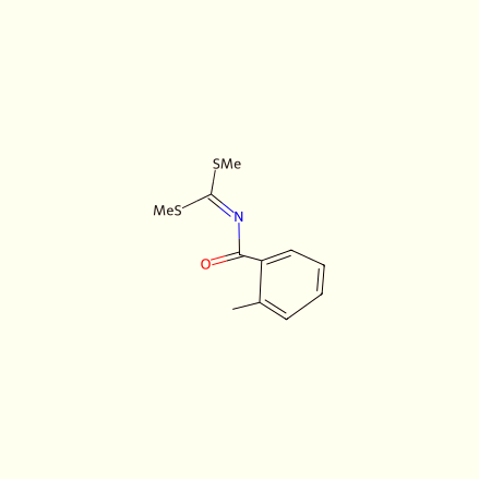 CSC(=NC(=O)c1ccccc1C)SC